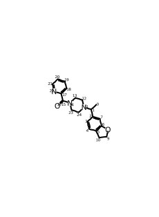 CC(c1ccc2c(c1)OCC2)N1CCN(C(=O)c2ccccn2)CC1